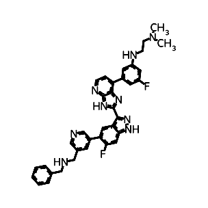 CN(C)CCNc1cc(F)cc(-c2ccnc3[nH]c(-c4n[nH]c5cc(F)c(-c6cncc(CNCc7ccccc7)c6)cc45)nc23)c1